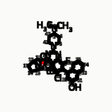 CN(C)C1CCN(c2nc(N3CC4CCC(C3)N4C(=O)OC(C)(C)C)c3cc(Cl)c(-c4cc(O)cc5ccccc45)c(F)c3n2)CC1